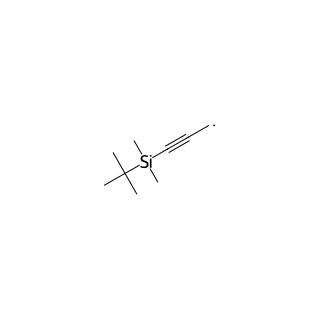 [CH2]C#C[Si](C)(C)C(C)(C)C